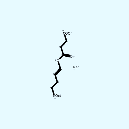 CCCCCCCCCCC=COC(=O)CCC(=O)[O-].[Na+]